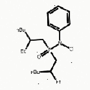 CCCCC(CC)CP(=O)(CC(CC)CCCC)N(Cl)c1ccccc1